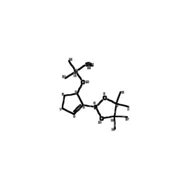 CC1(C)OB(C2=CCCC2O[Si](C)(C)C(C)(C)C)OC1(C)C